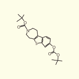 CC(C)(C)OC(=O)Oc1ccc2c3c(sc2c1)CCN(C(=O)OC(C)(C)C)CC3